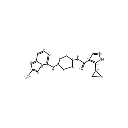 O=C(NC1CCC(Nc2cccc3nc(C(F)(F)F)cn23)CC1)c1cn[nH]c1C1CC1